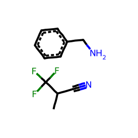 CC(C#N)C(F)(F)F.NCc1ccccc1